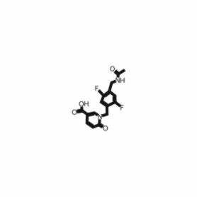 CC(=O)NCc1cc(F)c(Cn2cc(C(=O)O)ccc2=O)cc1F